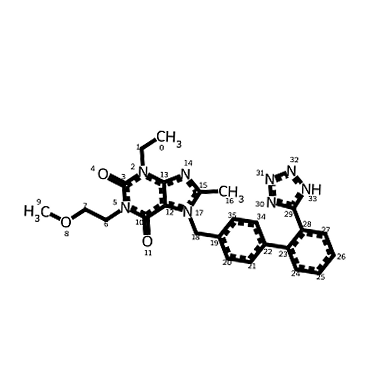 CCn1c(=O)n(CCOC)c(=O)c2c1nc(C)n2Cc1ccc(-c2ccccc2-c2nnn[nH]2)cc1